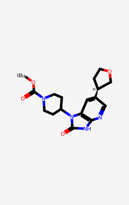 CC(C)(C)OC(=O)N1CCC(n2c(=O)[nH]c3ncc([C@H]4CCOC4)cc32)CC1